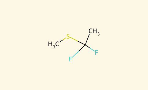 CSC(C)(F)F